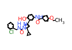 CCOc1ccc(C(=O)Nc2ccc(O)c(-c3cc(C4CC4)n(C(=O)NCc4ccccc4Cl)n3)c2)cc1